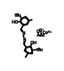 CC(=O)[O-].CC(=O)[O-].Cc1cc(C=NCN=Cc2cc(C)cc(C(C)(C)C)c2O)c(O)c(C(C)(C)C)c1.[Co+2]